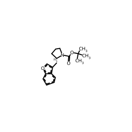 CC(C)(C)OC(=O)N1CCC[C@H]1Cc1coc2ccccc12